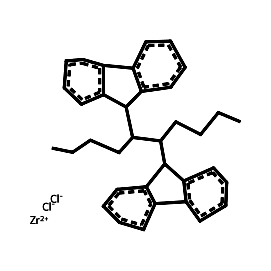 CCCCC(C1c2ccccc2-c2ccccc21)C(CCCC)C1c2ccccc2-c2ccccc21.[Cl-].[Cl-].[Zr+2]